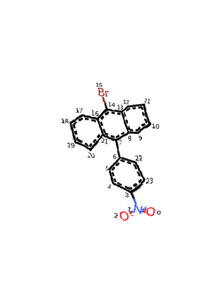 O=[N+]([O-])c1ccc(-c2c3ccccc3c(Br)c3ccccc23)cc1